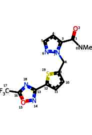 CNC(=O)c1ccnn1Cc1ccc(-c2noc(C(F)(F)F)n2)s1